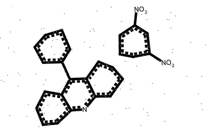 O=[N+]([O-])c1cccc([N+](=O)[O-])c1.c1ccc(-c2c3ccccc3nc3ccccc23)cc1